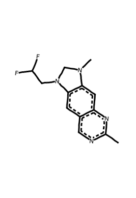 Cc1ncc2cc3c(cc2n1)N(C)CN3CC(F)F